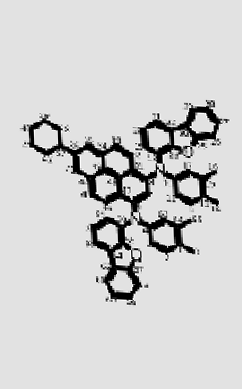 Cc1ccc(N(c2cc(N(c3ccc(C)c(C)c3)c3cccc4c3oc3ccccc34)c3ccc4cc(C5CCCCC5)cc5ccc2c3c54)c2cccc3c2oc2ccccc23)cc1C